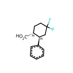 O=C(O)[C@@H]1CCC(F)(F)C[C@H]1c1ccccc1